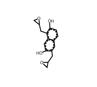 Oc1cc2c(CC3CO3)c(O)ccc2cc1CC1CO1